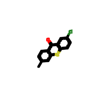 Cc1ccc2c(=O)c3cc(Cl)ccc3sc2c1